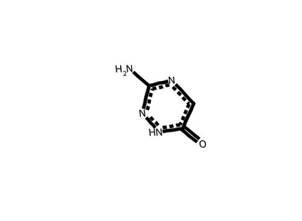 Nc1ncc(=O)[nH]n1